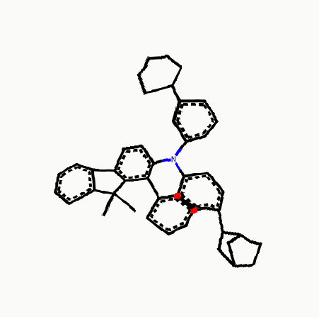 CC1(C)c2ccccc2-c2ccc(N(c3ccc(C4CC5CCC4C5)cc3)c3cccc(C4CCCCC4)c3)c(-c3ccccc3)c21